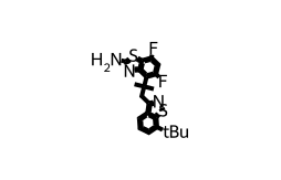 CC(C)(C)c1cccc2c(CC(C)(C)c3c(F)cc(F)c4sc(N)nc34)nsc12